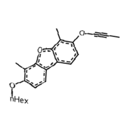 CC#COc1ccc2c(oc3c(C)c(OCCCCCC)ccc32)c1C